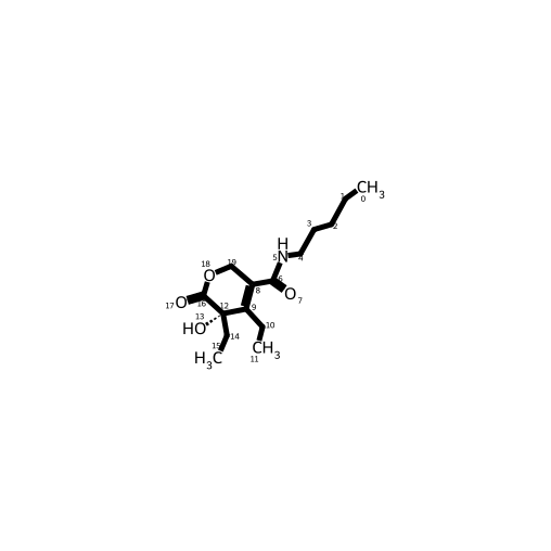 CCCCCNC(=O)C1=C(CC)[C@@](O)(CC)C(=O)OC1